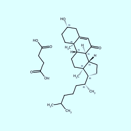 CC(C)CCC[C@@H](C)[C@H]1CC[C@H]2[C@@H]3C(=O)C=C4C[C@@H](O)CC[C@]4(C)[C@H]3CC[C@]12C.O=C(O)CCC(=O)O